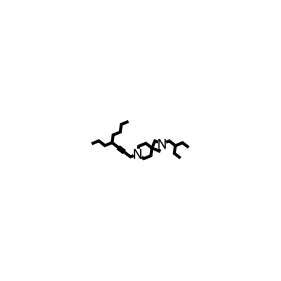 CCCCC(C#CCN1CCC2(CC1)CN(CC(CC)CC)C2)CCC